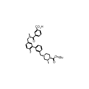 C[C@H]1CN(Cc2cccc(-c3cc(CN(C)C(=O)c4cccc(C(=O)O)c4)ccc3F)c2)CCN1C(=O)OC(C)(C)C